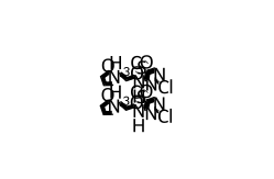 CS(=O)(=O)c1cnc(Cl)nc1NCCCN1CCCC1=O.CS(=O)(=O)c1cnc(Cl)nc1NCCCN1CCCC1=O